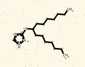 CCCCCCCC(CCCCCCC)Sc1nc[nH]n1